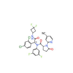 N#Cc1ccnc(N2C(=O)CCC2C(=O)N(c2cc(F)cc(F)c2)[C@H](C(=O)NC2CC(F)(F)C2)c2ccc(Cl)cc2Cl)c1